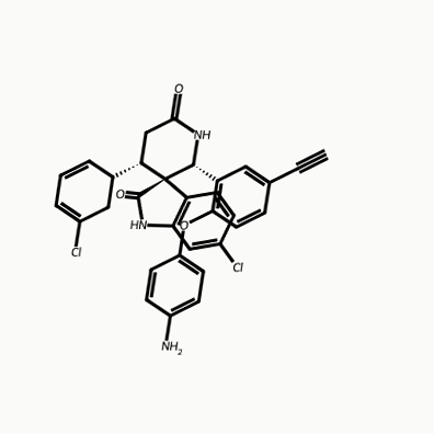 C#Cc1ccc(Oc2ccc(N)cc2)c([C@H]2NC(=O)C[C@@H](C3C=CC=C(Cl)C3)[C@]23C(=O)Nc2cc(Cl)ccc23)c1